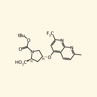 Cc1ccc2c(O[C@@H]3C[C@@H](C(=O)O)N(C(=O)OC(C)(C)C)C3)cc(C(F)(F)F)nc2n1